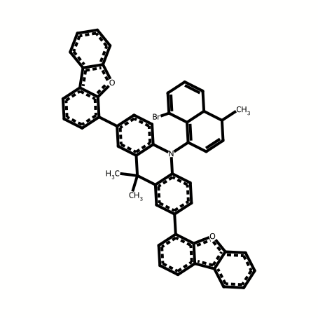 CC1C=CC(N2c3ccc(-c4cccc5c4oc4ccccc45)cc3C(C)(C)c3cc(-c4cccc5c4oc4ccccc45)ccc32)=C2C(Br)=CC=CC21